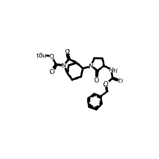 CC(C)(C)OC(=O)N1C(=O)C2CC1CCC2N1CCC(NC(=O)OCc2ccccc2)C1=O